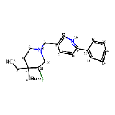 CC(C)(C)C1(CC#N)CCN(Cc2ccc(-c3ccccc3)nc2)CC1F